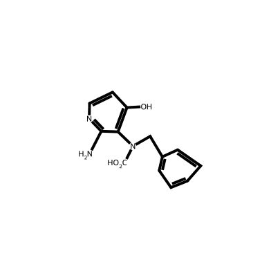 Nc1nccc(O)c1N(Cc1ccccc1)C(=O)O